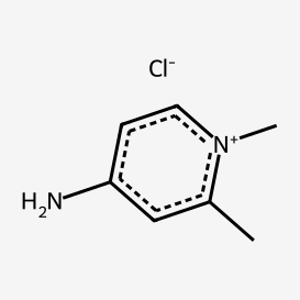 Cc1cc(N)cc[n+]1C.[Cl-]